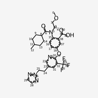 COC[C@H](C)N(C(=O)C1CCC(C)CC1)c1ccc(Oc2ncc(CCn3nccn3)cc2C(F)(F)F)cc1C(=O)O